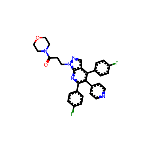 O=C(CCn1ncc2c(-c3ccc(F)cc3)c(-c3ccncc3)c(-c3ccc(F)cc3)nc21)N1CCOCC1